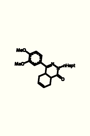 CCCCCCCN1N=C(c2ccc(OC)c(OC)c2)C2CC=CCC2C1=O